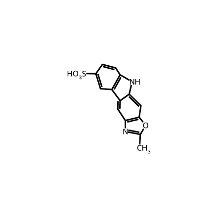 Cc1nc2cc3c(cc2o1)[nH]c1ccc(S(=O)(=O)O)cc13